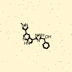 Cn1cc(-c2cnc3[nH]cc(-c4n[nH]c(C(O)c5ccccc5)n4)c3c2)cn1